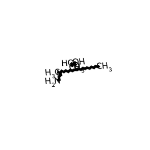 CC(O)C(=O)O.CCCCCCCCCCCCCCCCCCCN(C)CCCN